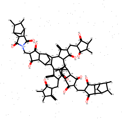 C=C1C(CC2C(=C)C(C3C4CC(C5C(=O)C(CN6C(=O)C7C8CC(C(C)C8C)C7C6=O)C(=O)C45)C3C3C(=C)C(CC4C(=O)C(C)C(C)C4=O)C(=O)C3C3C(C)C4CC3C3C(=O)C(CC5C(=O)C6C7CC(C(C)C7C)C6C5=O)C(=O)C43)C(C)C2=O)C(=O)C(C)C1C